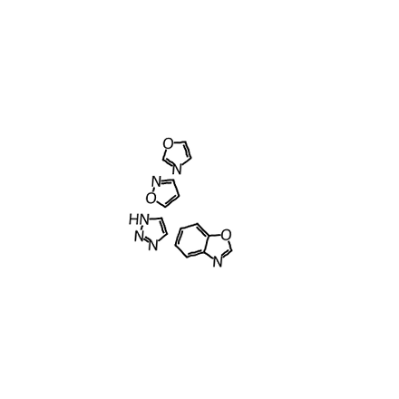 c1c[nH]nn1.c1ccc2ocnc2c1.c1cnoc1.c1cocn1